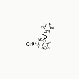 O=Cc1cc2c(c(OCc3ccccc3)c1)CCO2